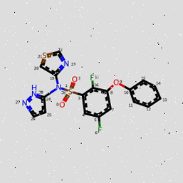 O=S(=O)(c1cc(F)cc(Oc2ccccc2)c1F)N(c1cscn1)c1ccn[nH]1